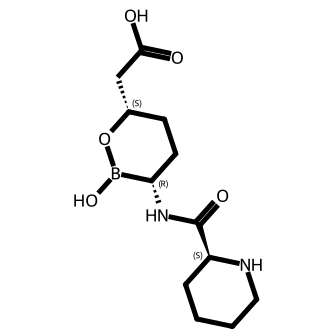 O=C(O)C[C@@H]1CC[C@H](NC(=O)[C@@H]2CCCCN2)B(O)O1